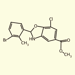 COC(=O)c1cc(Cl)c2c(c1)NC(c1cccc(Br)c1C)O2